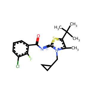 Cc1c(C(C)(C)C)s/c(=N\C(=O)c2cccc(Cl)c2F)n1CC1CC1